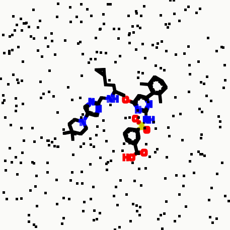 Cc1cccc(C)c1-c1cc(OCC(CCC2CC2)NCc2ncc(N3CCC(C)(C)CC3)cn2)nc(NS(=O)(=O)c2cccc(C(=O)O)c2)n1